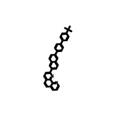 CC(C)(C)c1ccc(-c2ccc(-c3ccc4cc(-c5ccc6ccc7cccnc7c6n5)ccc4c3)cc2)cc1